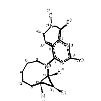 FC1=c2nc(Cl)nc(N3CCCCC[C@H]4[C@H](F)[C@H]43)c2=CCN1Cl